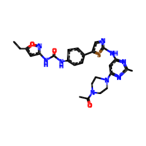 CCc1cc(NC(=O)Nc2ccc(-c3cnc(Nc4cc(N5CCN(C(C)=O)CC5)nc(C)n4)s3)cc2)no1